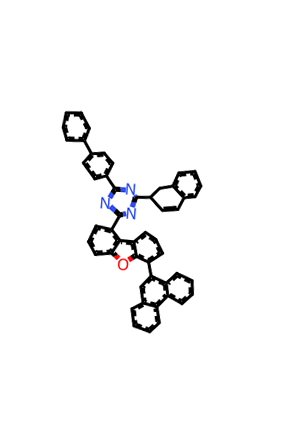 C1=CC(c2nc(-c3ccc(-c4ccccc4)cc3)nc(-c3cccc4oc5c(-c6cc7ccccc7c7ccccc67)cccc5c34)n2)Cc2ccccc21